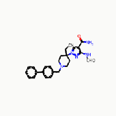 N#CCC1(n2cc(C(N)=O)c(NC=O)n2)CCN(Cc2ccc(-c3ccccc3)cc2)CC1